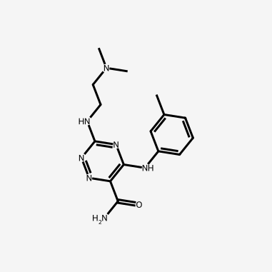 Cc1cccc(Nc2nc(NCCN(C)C)nnc2C(N)=O)c1